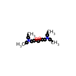 CCc1ccc(N(c2ccc(CC)cc2)c2ccc3cc4c(cc3c2)oc2c4ccc3c4cc5ccc(N(c6ccc(CC)cc6)c6ccc(CC)cc6)cc5cc4oc32)cc1